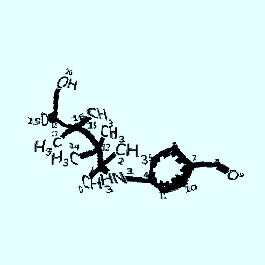 CC(C)(Nc1ccc(C=O)cc1)C(C)(C)C(C)(C)C(=O)O